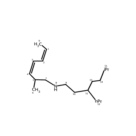 C/C=C\C=C/C(C)CNCCC(CCC)CCC(C)C